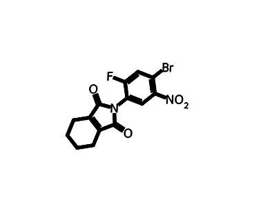 O=C1C2=C(CCCC2)C(=O)N1c1cc([N+](=O)[O-])c(Br)cc1F